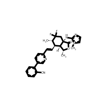 C[C@H]1OC(=O)[C@]2(Nc3nccn3C)CC(F)(F)[C@@H](C)[C@H](/C=C/c3ccc(-c4ccccc4C#N)cn3)[C@H]12